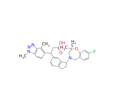 Cc1c(C(CC(=O)O)c2ccc3c(c2)C(N2Cc4ccc(F)cc4OC(C)(C)C2)CC3)ccc2c1nnn2C